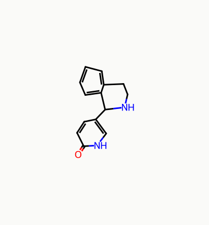 O=c1ccc(C2NCCc3ccccc32)c[nH]1